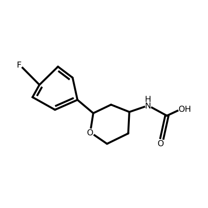 O=C(O)NC1CCOC(c2ccc(F)cc2)C1